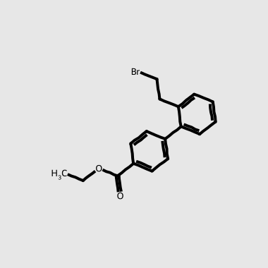 CCOC(=O)c1ccc(-c2ccccc2CCBr)cc1